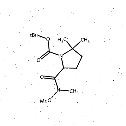 CON(C)C(=O)C1CCC(C)(C)N1C(=O)OC(C)(C)C